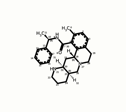 Cc1ccc2c(c1C(=O)N[C@H](C)c1ccccc1)[C@H]1C[C@@H]3NCCC[C@@H]3CN1CC2